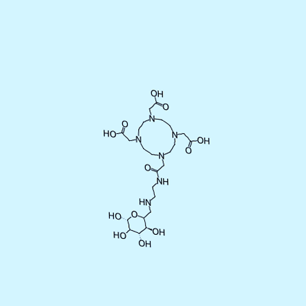 O=C(O)CN1CCN(CC(=O)O)CCN(CC(=O)NCCNCC2O[C@@H](O)C(O)[C@@H](O)[C@@H]2O)CCN(CC(=O)O)CC1